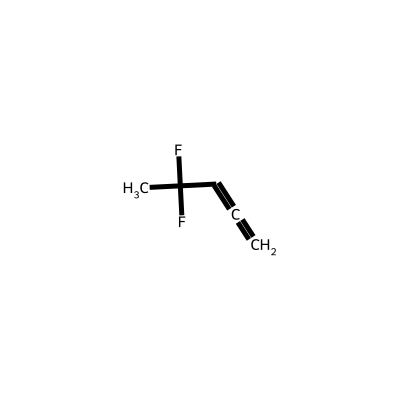 C=C=CC(C)(F)F